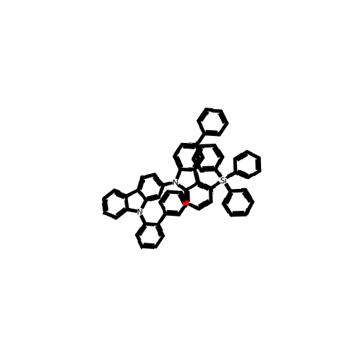 c1ccc(-c2ccc3c(c2)c2c([Si](c4ccccc4)(c4ccccc4)c4ccccc4)cccc2n3-c2ccc3c4ccccc4n(-c4ccccc4-c4ccccc4)c3c2)cc1